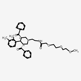 COCCOCCOCC(=O)NCCN1C[C@H](C(=O)c2ccccc2)C(c2cccc(C)c2C)[C@@H](C(=O)c2ccccc2)C1